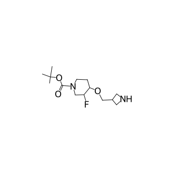 CC(C)(C)OC(=O)N1CCC(OCC2CNC2)C(F)C1